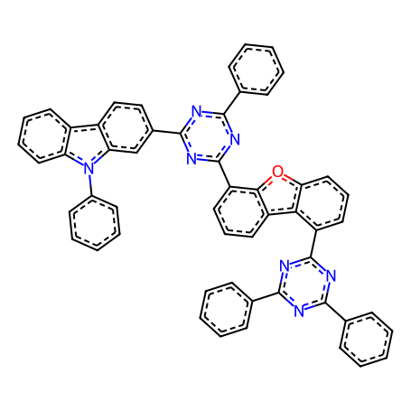 c1ccc(-c2nc(-c3ccc4c5ccccc5n(-c5ccccc5)c4c3)nc(-c3cccc4c3oc3cccc(-c5nc(-c6ccccc6)nc(-c6ccccc6)n5)c34)n2)cc1